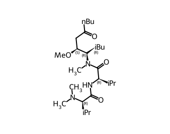 CCCCC(=O)C[C@H](OC)[C@@H]([C@H](C)CC)N(C)C(=O)[C@H](NC(=O)[C@@H](C(C)C)N(C)C)C(C)C